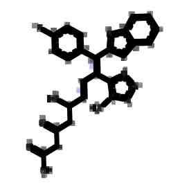 Cn1nnnc1C(/C=C/C(O)CC(=O)CC(=O)O)=C(/c1ccc(F)cc1)c1cc2ccccc2o1